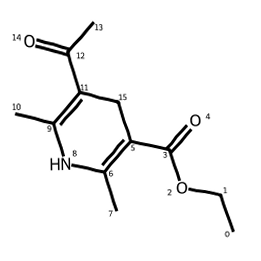 CCOC(=O)C1=C(C)NC(C)=C(C(C)=O)C1